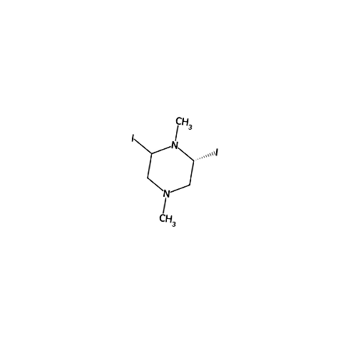 CN1CC(I)N(C)[C@H](I)C1